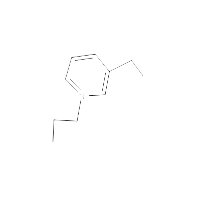 CCC[n+]1cccc(CC)c1